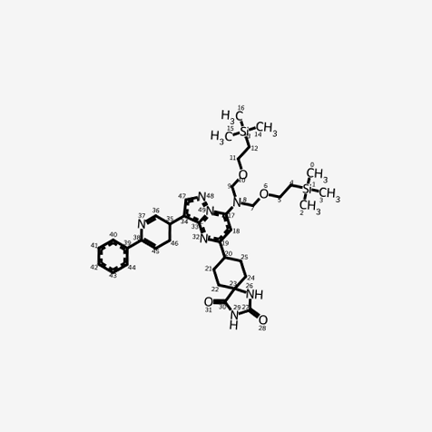 C[Si](C)(C)CCOCN(COCC[Si](C)(C)C)c1cc(C2CCC3(CC2)NC(=O)NC3=O)nc2c(C3C=NC(c4ccccc4)=CC3)cnn12